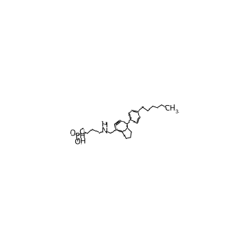 CCCCCCc1ccc(-c2ccc(CNCCCO[PH](=O)O)c3c2CCC3)cc1